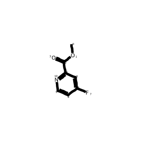 COC(=O)c1cc(F)ccn1